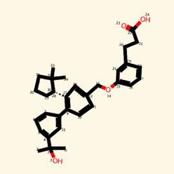 CC(C)(O)c1cccc(-c2ccc(COc3cccc(CCC(=O)O)c3)cc2[C@@H]2CCCC2(C)C)c1